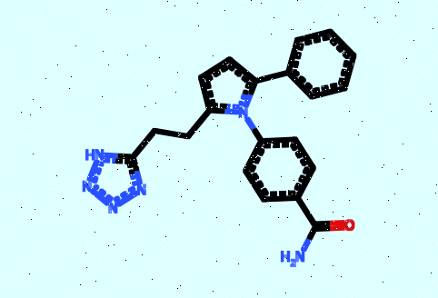 NC(=O)c1ccc(-n2c(CCc3nnn[nH]3)ccc2-c2ccccc2)cc1